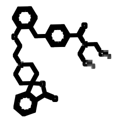 CCN(CC)C(=O)c1ccc(Cc2ccccc2OCCN2CCC3(CC2)OC(=O)c2ccccc23)cc1